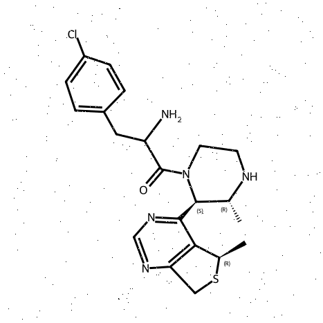 C[C@H]1SCc2ncnc([C@@H]3[C@@H](C)NCCN3C(=O)C(N)Cc3ccc(Cl)cc3)c21